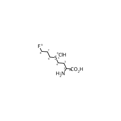 Cl.NC(CCSCCCF)C(=O)O